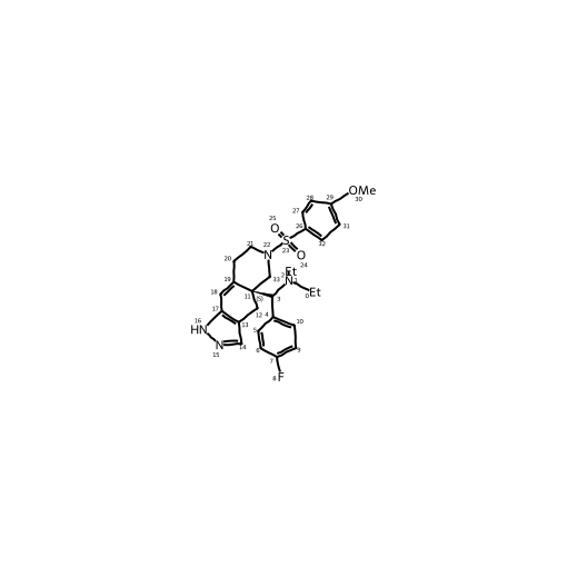 CCN(CC)C(c1ccc(F)cc1)[C@@]12Cc3cn[nH]c3C=C1CCN(S(=O)(=O)c1ccc(OC)cc1)C2